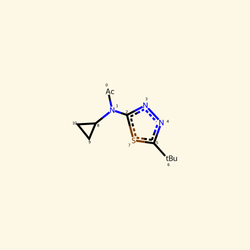 CC(=O)N(c1nnc(C(C)(C)C)s1)C1CC1